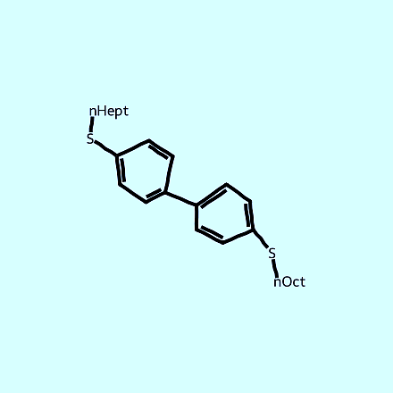 CCCCCCCCSc1ccc(-c2ccc(SCCCCCCC)cc2)cc1